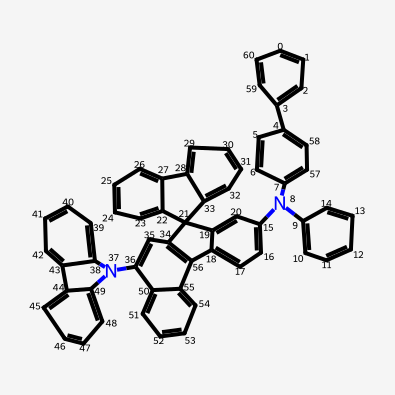 c1ccc(-c2ccc(N(c3ccccc3)c3ccc4c(c3)C3(c5ccccc5-c5ccccc53)c3cc(-n5c6ccccc6c6ccccc65)c5ccccc5c3-4)cc2)cc1